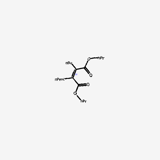 CCCCC/C(C(=O)OCCC)=C(\CCCC)C(=O)OCCC